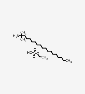 CCCCCCCCCCCCCCCCCC(C)(C)N.CCOS(=O)(=O)O